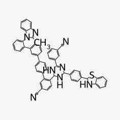 Cc1nc2ccccc2n1-c1ccccc1-c1cccc(-c2ccc(-c3cc(C#N)ccc3C3NC(c4cccc(C#N)c4)=NC(c4ccc(C5Nc6ccccc6S5)cc4)N3)cc2)c1